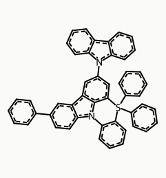 c1ccc(-c2ccc3c(c2)c2cc(-n4c5ccccc5c5ccccc54)cc4c2n3-c2ccccc2S4(c2ccccc2)c2ccccc2)cc1